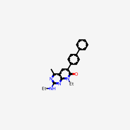 CCNc1nc(C)c2cc(-c3ccc(-c4ccccc4)cc3)c(=O)n(CC)c2n1